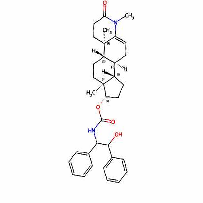 CN1C(=O)CC[C@@]2(C)C1=CC[C@H]1[C@@H]3CC[C@H](OC(=O)NC(c4ccccc4)C(O)c4ccccc4)[C@@]3(C)CC[C@@H]12